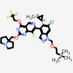 C[C@@H]1C[C@@H]1c1c(Cl)cc2c(cnn2COCC[Si](C)(C)C)c1-c1ncc2c(OCC(F)(F)F)nc(OCC34CCCN3CCC4)nc2c1F